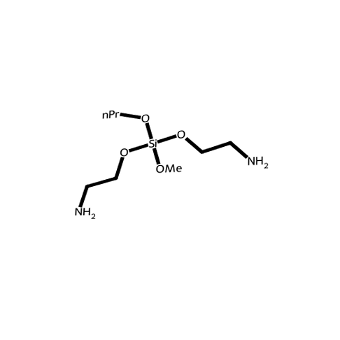 CCCO[Si](OC)(OCCN)OCCN